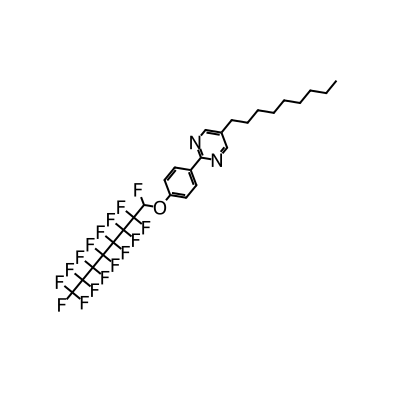 CCCCCCCCCc1cnc(-c2ccc(OC(F)C(F)(F)C(F)(F)C(F)(F)C(F)(F)C(F)(F)C(F)(F)C(F)(F)F)cc2)nc1